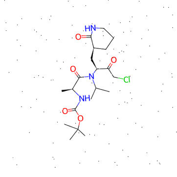 CC(C)N(C(=O)[C@H](C)NC(=O)OC(C)(C)C)[C@@H](C[C@@H]1CCCNC1=O)C(=O)CCl